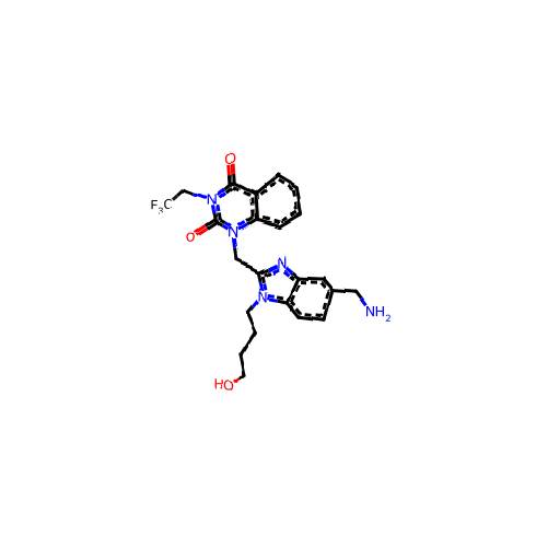 NCc1ccc2c(c1)nc(Cn1c(=O)n(CC(F)(F)F)c(=O)c3ccccc31)n2CCCCO